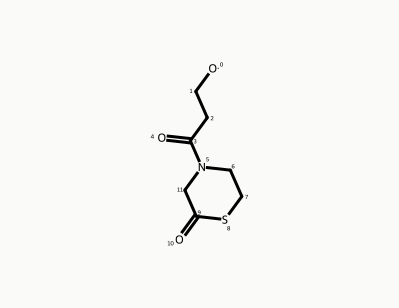 [O]CCC(=O)N1CCSC(=O)C1